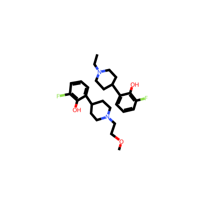 CCN1CCC(c2cccc(F)c2O)CC1.COCCN1CCC(c2cccc(F)c2O)CC1